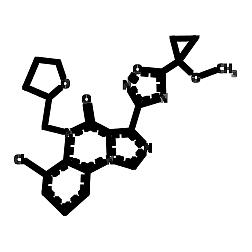 COC1(c2nc(-c3ncn4c3c(=O)n(CC3CCCO3)c3c(Cl)cccc34)no2)CC1